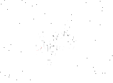 CC1(C)Cc2cc3c(cc2C1)N(c1ccc(C(C)(C)C)cc1-c1ccccc1)c1cc(N2c4ccc(N(c5ccc(C(C)(C)C)cc5)c5ccc(C(C)(C)C)cc5)cc4C4(C)CCCCC24C)cc2c1B3c1cc(-c3ccccc3)ccc1N2c1ccc(-c2ccccc2)cc1